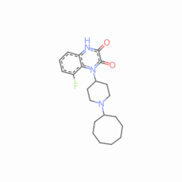 O=c1[nH]c2cccc(F)c2n(C2CCN(C3CCCCCCC3)CC2)c1=O